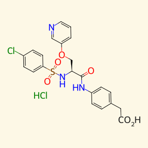 Cl.O=C(O)Cc1ccc(NC(=O)[C@H](COc2cccnc2)NS(=O)(=O)c2ccc(Cl)cc2)cc1